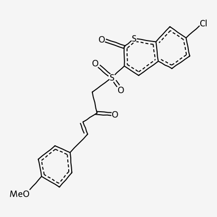 COc1ccc(C=CC(=O)CS(=O)(=O)c2cc3ccc(Cl)cc3sc2=O)cc1